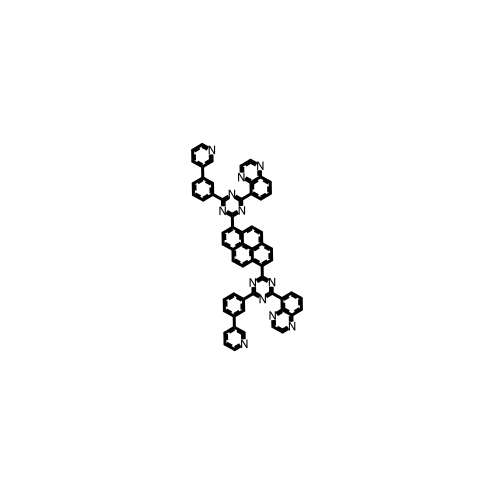 c1cncc(-c2cccc(-c3nc(-c4ccc5ccc6c(-c7nc(-c8cccc(-c9cccnc9)c8)nc(-c8cccc9nccnc89)n7)ccc7ccc4c5c76)nc(-c4cccc5nccnc45)n3)c2)c1